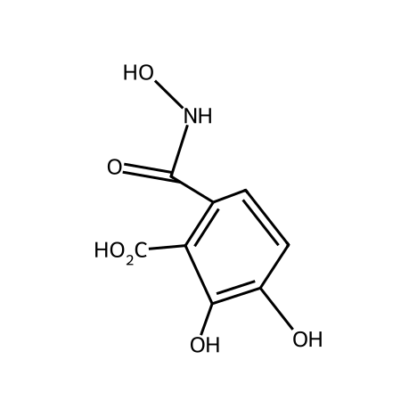 O=C(NO)c1ccc(O)c(O)c1C(=O)O